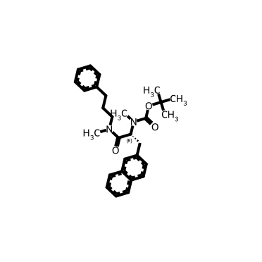 CN(CCCc1ccccc1)C(=O)[C@@H](Cc1ccc2ccccc2c1)N(C)C(=O)OC(C)(C)C